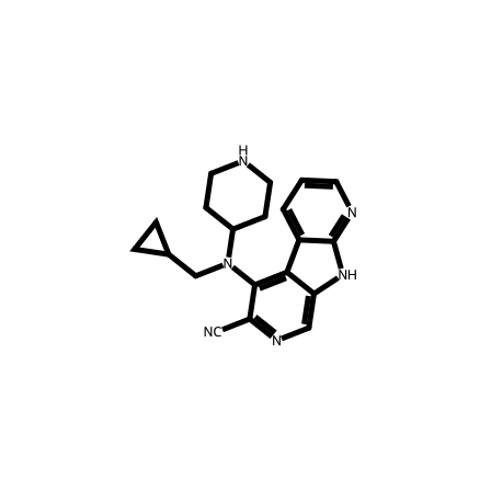 N#Cc1ncc2[nH]c3ncccc3c2c1N(CC1CC1)C1CCNCC1